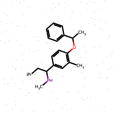 CPC(CC(C)C)c1ccc(OC(C)c2ccccc2)c(C)c1